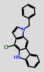 Clc1c2ccn(Cc3ccccc3)c2cc2c1[nH]c1ccccc12